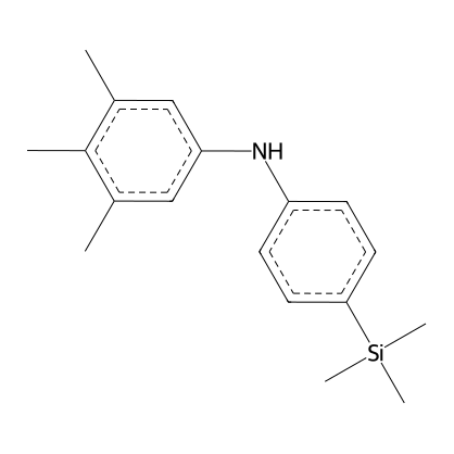 Cc1cc(Nc2ccc([Si](C)(C)C)cc2)cc(C)c1C